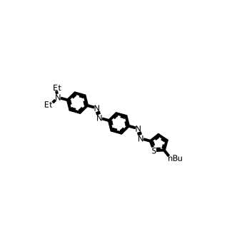 CCCCc1ccc(/N=N/c2ccc(/N=N/c3ccc(N(CC)CC)cc3)cc2)s1